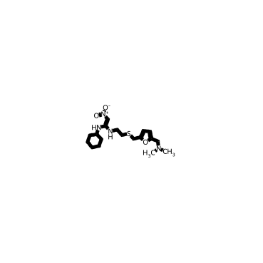 CN(C)Cc1ccc(CSCCN/C(=C/[N+](=O)[O-])NC2CCCCC2)o1